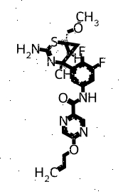 C=CCOc1cnc(C(=O)Nc2cc(F)c(F)c([C@]3(C)N=C(N)S[C@@]4(COC)C[C@H]43)c2)cn1